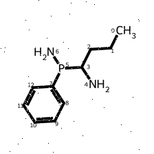 CCCC(N)P(N)c1ccccc1